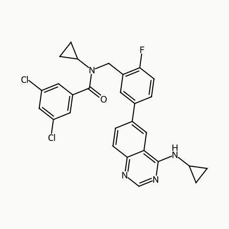 O=C(c1cc(Cl)cc(Cl)c1)N(Cc1cc(-c2ccc3ncnc(NC4CC4)c3c2)ccc1F)C1CC1